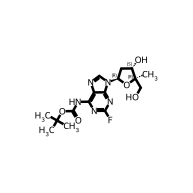 CC(C)(C)OC(=O)Nc1nc(F)nc2c1ncn2[C@H]1C[C@H](O)[C@@](C)(CO)O1